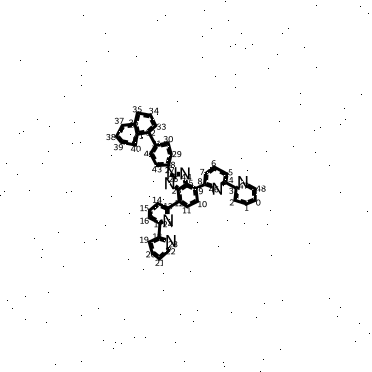 c1ccc(-c2cccc(-c3ccc(-c4cccc(-c5ccccn5)n4)c4nn(-c5ccc(-c6cccc7ccccc67)cc5)nc34)n2)nc1